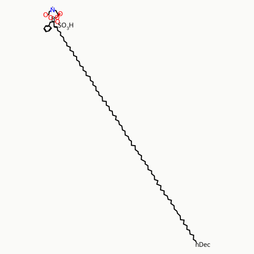 CCCCCCCCCCCCCCCCCCCCCCCCCCCCCCCCCCCCCCCCCCCCCCCCCCCCCCCCCCCCCCCCCCCCCCCCCCCCCCCCCCCCCCCCCCCCCCCCC=CC(Cc1ccccc1)(OS(=O)(=O)O)B1OC(=O)CN(C)CC(=O)O1